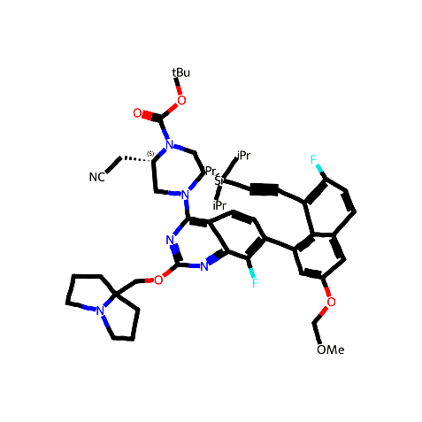 COCOc1cc(-c2ccc3c(N4CCN(C(=O)OC(C)(C)C)[C@@H](CC#N)C4)nc(OCC45CCCN4CCC5)nc3c2F)c2c(C#C[Si](C(C)C)(C(C)C)C(C)C)c(F)ccc2c1